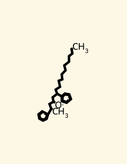 CCCCCCCCCCCCC(CC([O])CC(C)c1ccccc1)c1ccccc1